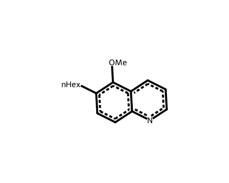 [CH2]Oc1c(CCCCCC)ccc2ncccc12